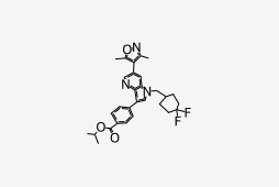 Cc1noc(C)c1-c1cnc2c(-c3ccc(C(=O)OC(C)C)cc3)cn(CC3CCC(F)(F)CC3)c2c1